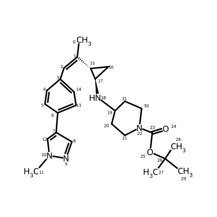 CC(=Cc1ccc(-c2cnn(C)c2)cc1)[C@@H]1C[C@H]1NC1CCN(C(=O)OC(C)(C)C)CC1